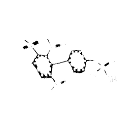 O=[N+]([O-])c1ccc(S(=O)(=O)O)c([N+](=O)[O-])c1-c1ccc(OP(=O)(O)O)cc1